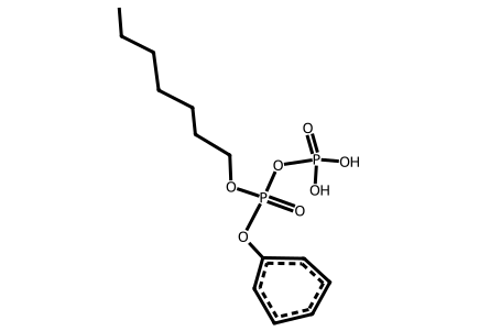 CCCCCCCOP(=O)(Oc1ccccc1)OP(=O)(O)O